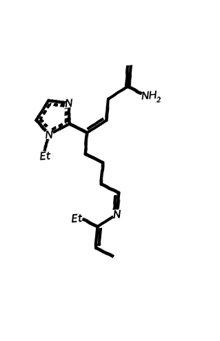 C=C(N)C/C=C(/CCC/C=N\C(=C/C)CC)c1nccn1CC